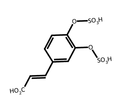 O=C(O)/C=C/c1ccc(OS(=O)(=O)O)c(OS(=O)(=O)O)c1